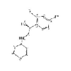 O[C@H](CNC1CCOCC1)c1ccc(F)cc1F